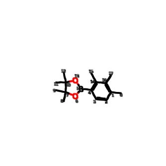 Cc1ccc(B2OC(C)(C)C(C)(C)O2)c(C)c1C